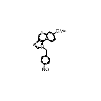 COc1ccc2c(c1)ncc1ncn(Cc3ccc(N=O)cc3)c12